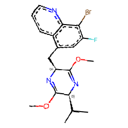 COC1=N[C@@H](C(C)C)C(OC)=N[C@H]1Cc1cc(F)c(Br)c2ncccc12